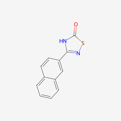 O=c1[nH]c(-c2ccc3ccccc3c2)ns1